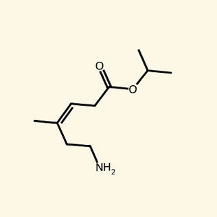 CC(=CCC(=O)OC(C)C)CCN